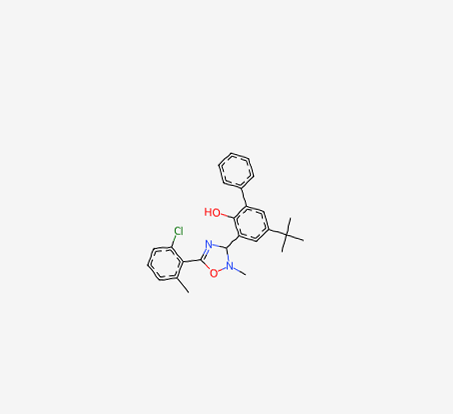 Cc1cccc(Cl)c1C1=NC(c2cc(C(C)(C)C)cc(-c3ccccc3)c2O)N(C)O1